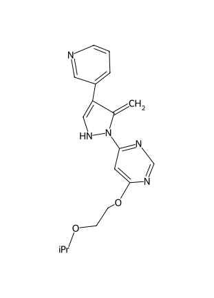 C=C1C(c2cccnc2)=CNN1c1cc(OCCOC(C)C)ncn1